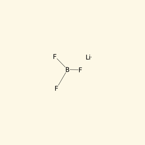 FB(F)F.[Li]